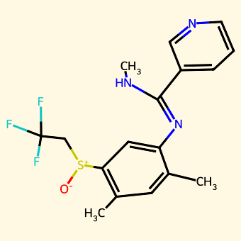 CN/C(=N\c1cc([S+]([O-])CC(F)(F)F)c(C)cc1C)c1cccnc1